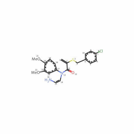 C=C(SCc1ccc(Cl)cc1)C(=O)N(/C=C\N)c1ccc(OC)c(OC)c1